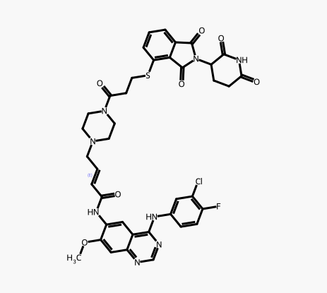 COc1cc2ncnc(Nc3ccc(F)c(Cl)c3)c2cc1NC(=O)/C=C/CN1CCN(C(=O)CCSc2cccc3c2C(=O)N(C2CCC(=O)NC2=O)C3=O)CC1